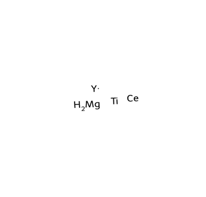 [Ce].[MgH2].[Ti].[Y]